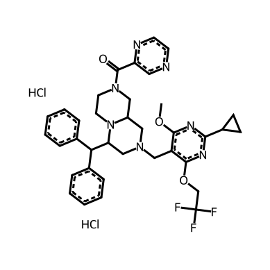 COc1nc(C2CC2)nc(OCC(F)(F)F)c1CN1CC2CN(C(=O)c3cnccn3)CCN2C(C(c2ccccc2)c2ccccc2)C1.Cl.Cl